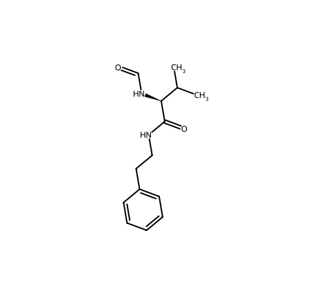 CC(C)[C@H](NC=O)C(=O)NCCc1ccccc1